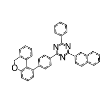 c1ccc(-c2nc(-c3ccc(-c4cccc5c4-c4ccccc4CO5)cc3)nc(-c3ccc4ccccc4c3)n2)cc1